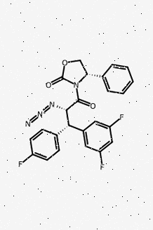 [N-]=[N+]=N[C@H](C(=O)N1C(=O)OC[C@@H]1c1ccccc1)[C@@H](c1ccc(F)cc1)c1cc(F)cc(F)c1